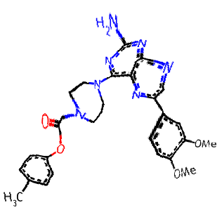 COc1ccc(-c2cnc3nc(N)nc(N4CCN(C(=O)Oc5ccc(C)cc5)CC4)c3n2)cc1OC